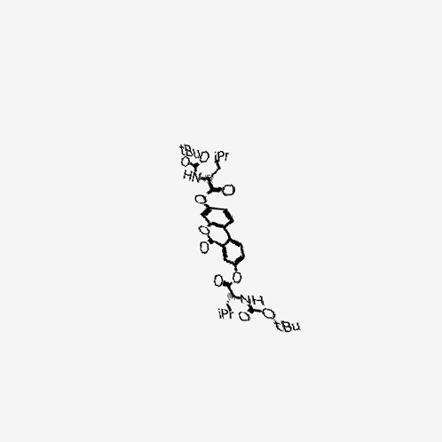 CC(C)C[C@H](NC(=O)OC(C)(C)C)C(=O)Oc1ccc2c(c1)oc(=O)c1cc(OC(=O)[C@@H](CC(C)C)NC(=O)OC(C)(C)C)ccc12